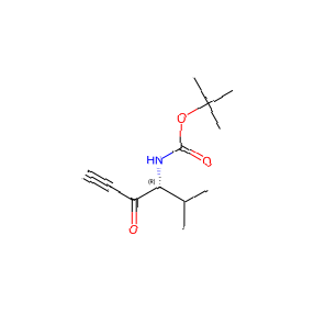 C#CC(=O)[C@H](NC(=O)OC(C)(C)C)C(C)C